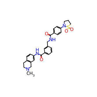 CN1CCc2ccc(NC(=O)c3cccc(CNC(=O)c4ccc(N5CCCS5(=O)=O)cc4)c3)cc2C1